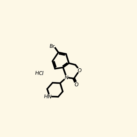 Cl.O=C1OCc2cc(Br)ccc2N1C1CCNCC1